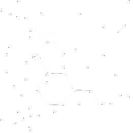 CC(C)N1CCOC(NS(C)(=O)=O)C1